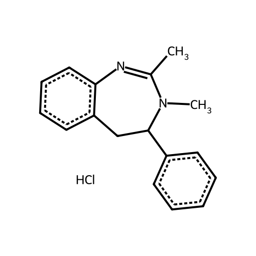 CC1=Nc2ccccc2CC(c2ccccc2)N1C.Cl